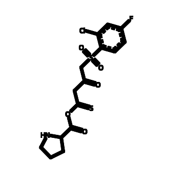 O=C(CC(=S)OC(=O)C1CCCN1)CS(=O)(=O)c1ccc(F)cc1Cl